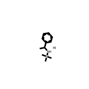 CC(N[N+](C)(C)C)c1ccccc1.I